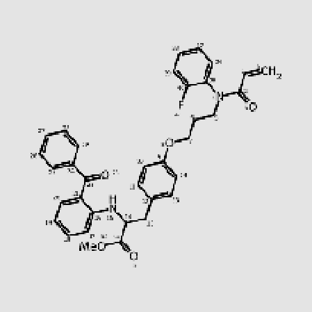 C=CC(=O)N(CCCOc1ccc(CC(Nc2ccccc2C(=O)c2ccccc2)C(=O)OC)cc1)c1ccccc1F